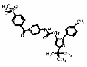 Cc1ccc(-n2nc(C(C)(C)C)cc2NC(=O)NC2CCN(C(=O)c3ccc(S(C)(=O)=O)cc3)CC2)cc1